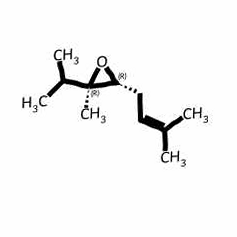 CC(C)=CC[C@H]1O[C@]1(C)C(C)C